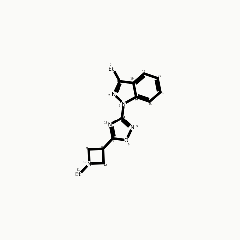 CCc1nn(-c2noc(C3CN(CC)C3)n2)c2ccccc12